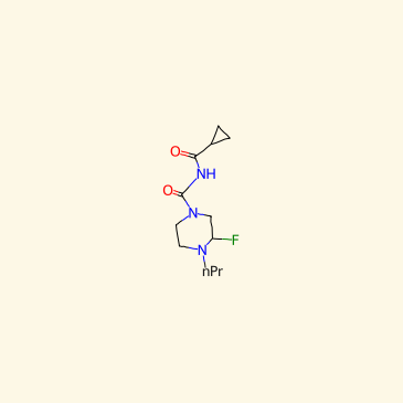 CCCN1CCN(C(=O)NC(=O)C2CC2)CC1F